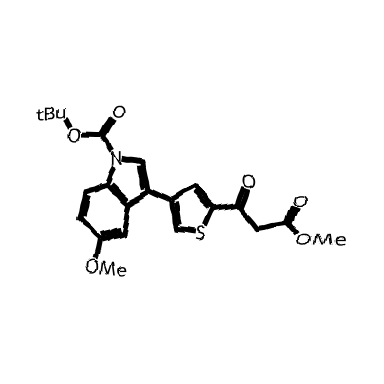 COC(=O)CC(=O)c1cc(-c2cn(C(=O)OC(C)(C)C)c3ccc(OC)cc23)cs1